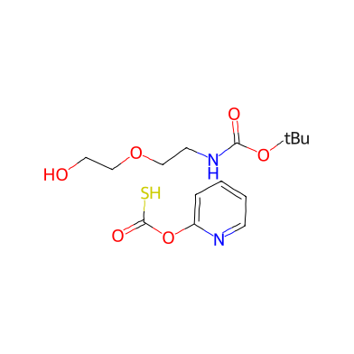 CC(C)(C)OC(=O)NCCOCCO.O=C(S)Oc1ccccn1